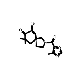 Cc1ncoc1C(=O)N1CC[C@@]2(C=C(C#N)C(=O)C(C)(C)C2)C1